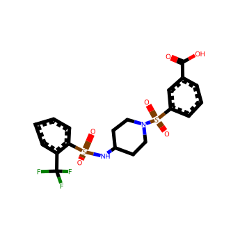 O=C(O)c1cccc(S(=O)(=O)N2CCC(NS(=O)(=O)c3ccccc3C(F)(F)F)CC2)c1